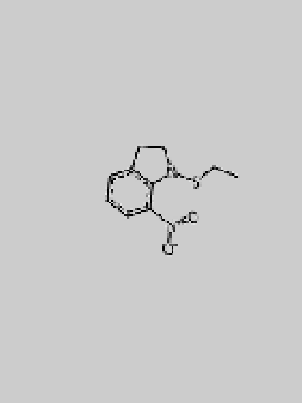 CCSN1CCc2cccc([N+](=O)[O-])c21